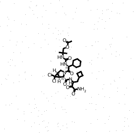 CC(=O)OCC(C)(C)NC(=O)N[C@H](C(=O)N1C[C@H]2[C@@H]([C@H]1C(=O)NC(CC1CCC1)C(=O)C(N)=O)C2(Cl)Cl)C1CCCCC1